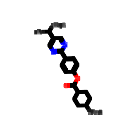 CCCCCCCC(CCC)c1cnc(-c2ccc(OC(=O)C3CCC(CCCCC)CC3)cc2)nc1